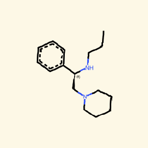 CCCN[C@@H](CN1CCCCC1)c1ccccc1